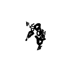 Cc1cc(Br)cc(C)c1S(=O)(=O)Nc1ccc(C(F)(F)F)c(OC2CCN(C)C2)c1